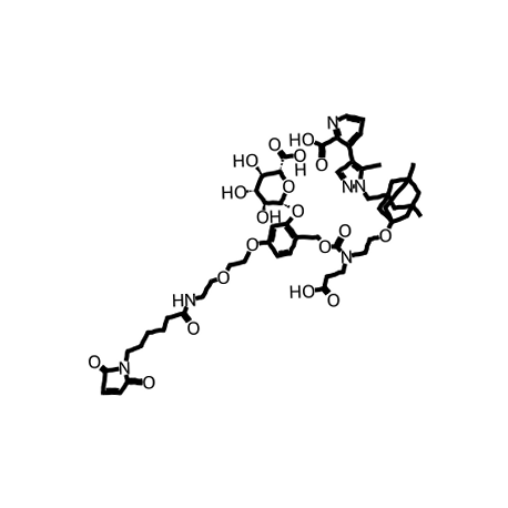 Cc1c(-c2cccnc2C(=O)O)cnn1CC12CC3(C)CC(C)(C1)CC(OCCN(CCC(=O)O)C(=O)OCc1ccc(OCCOCCNC(=O)CCCCCN4C(=O)C=CC4=O)cc1O[C@H]1O[C@@H](C(=O)O)[C@H](O)[C@@H](O)[C@@H]1O)(C3)C2